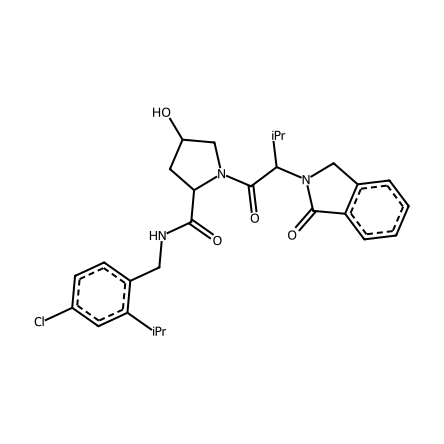 CC(C)c1cc(Cl)ccc1CNC(=O)C1CC(O)CN1C(=O)C(C(C)C)N1Cc2ccccc2C1=O